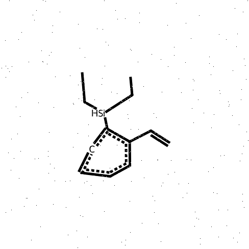 C=Cc1ccccc1[SiH](CC)CC